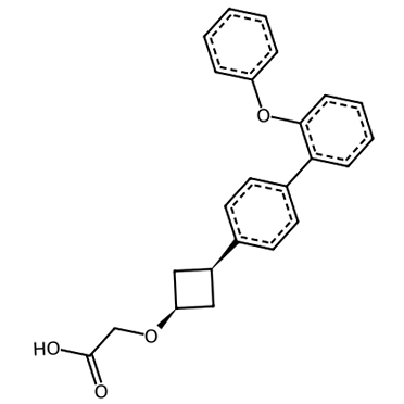 O=C(O)CO[C@H]1C[C@@H](c2ccc(-c3ccccc3Oc3ccccc3)cc2)C1